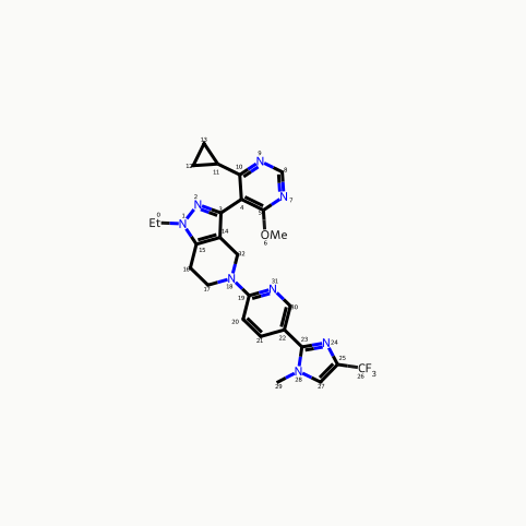 CCn1nc(-c2c(OC)ncnc2C2CC2)c2c1CCN(c1ccc(-c3nc(C(F)(F)F)cn3C)cn1)C2